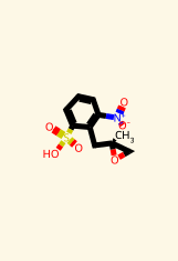 C[C@@]1(Cc2c([N+](=O)[O-])cccc2S(=O)(=O)O)CO1